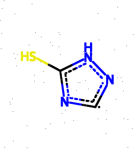 Sc1n[c]n[nH]1